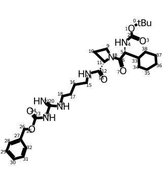 CC(C)(C)OC(=O)N[C@@H](C(=O)N1CC[C@H]1C(=O)NCCCCNC(=N)NC(=O)OCc1ccccc1)C1CCCCC1